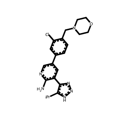 CC(C)c1[nH]nnc1-c1cc(-c2ccc(CN3CCOCC3)c(Cl)c2)cnc1N